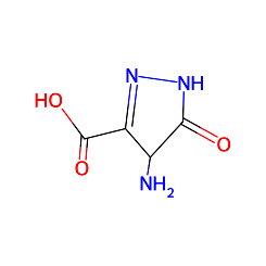 NC1C(=O)NN=C1C(=O)O